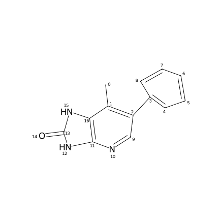 Cc1c(-c2ccccc2)cnc2[nH]c(=O)[nH]c12